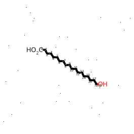 O=C(O)CCCCCCCCCCCCCCCCCCO